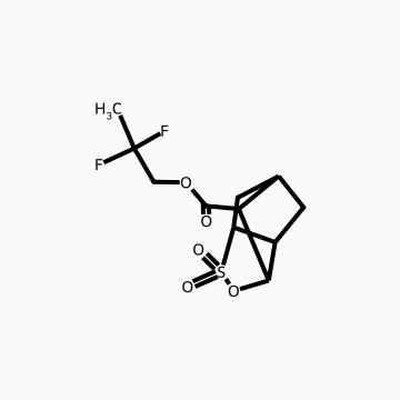 CC(F)(F)COC(=O)C1C2CC3C1OS(=O)(=O)C3C2